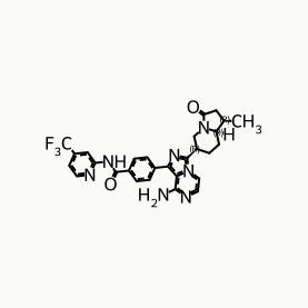 C[C@@H]1CC(=O)N2C[C@H](c3nc(-c4ccc(C(=O)Nc5cc(C(F)(F)F)ccn5)cc4)c4c(N)nccn34)CC[C@H]12